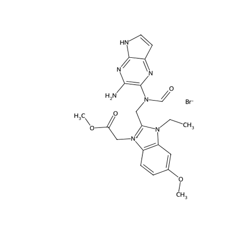 CCn1c(CN(C=O)c2nc3cc[nH]c3nc2N)[n+](CC(=O)OC)c2ccc(OC)cc21.[Br-]